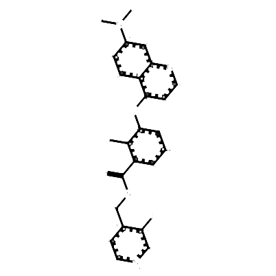 Cc1c(Oc2ccnc3cc(N(C)C)ccc23)cccc1C(=O)NCc1ccncc1F